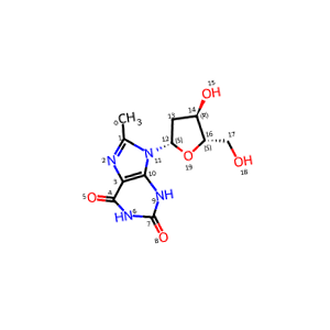 Cc1nc2c(=O)[nH]c(=O)[nH]c2n1[C@@H]1C[C@@H](O)[C@H](CO)O1